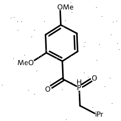 COc1ccc(C(=O)[PH](=O)CC(C)C)c(OC)c1